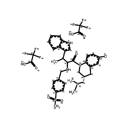 CC(c1c[nH]c2ccccc12)C(NCc1ccc(S(C)(=O)=O)cc1)C(=O)N1C[C@@H](CN(C)C)Cc2cc(Cl)ccc21.O=C(O)C(F)(F)F.O=C(O)C(F)(F)F